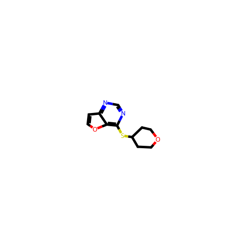 c1nc(SC2CCOCC2)c2occc2n1